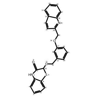 O=C1Nc2ccccc2SC1OCc1cccc(OCc2ccc3ccccc3n2)c1